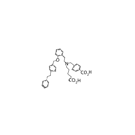 O=C(O)CCCCN(CCc1ccccc1OCc1ccc(CCc2cc#ccc2)cc1)Cc1ccc(C(=O)O)cc1